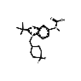 CN(C(=O)O)c1ccc2c(c1)nc(C(C)(C)C)n2CC1CCC(F)(F)CC1